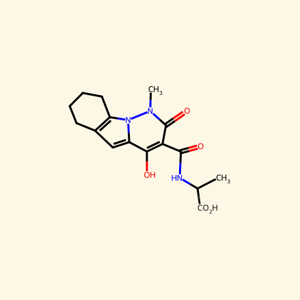 CC(NC(=O)c1c(O)c2cc3c(n2n(C)c1=O)CCCC3)C(=O)O